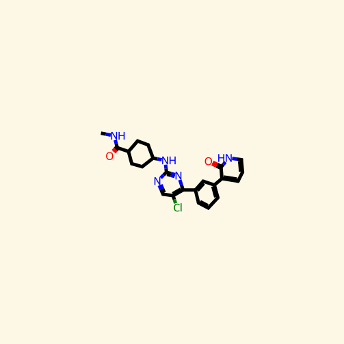 CNC(=O)C1CCC(Nc2ncc(Cl)c(-c3cccc(-c4ccc[nH]c4=O)c3)n2)CC1